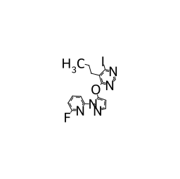 CCCc1c(I)ncnc1Oc1ccnn1-c1cccc(F)n1